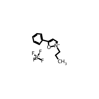 CCC[n+]1ccc(-c2ccccc2)o1.F[B-](F)(F)F